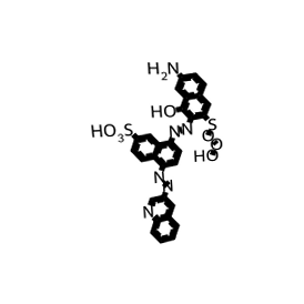 Nc1ccc2cc(SOOO)c(N=Nc3ccc(N=Nc4cnc5ccccc5c4)c4ccc(S(=O)(=O)O)cc34)c(O)c2c1